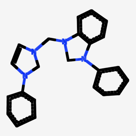 C1=CN(c2ccccc2)CN1CN1CN(c2ccccc2)c2ccccc21